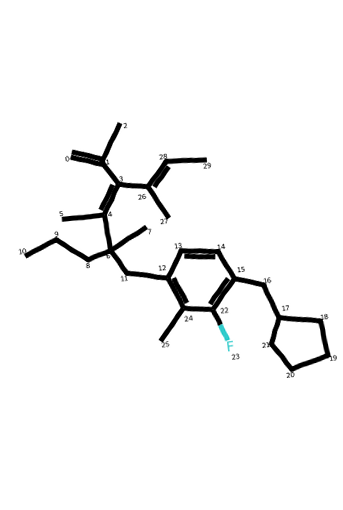 C=C(C)C(=C(\C)C(C)(CCC)Cc1ccc(CC2CCCC2)c(F)c1C)/C(C)=C/C